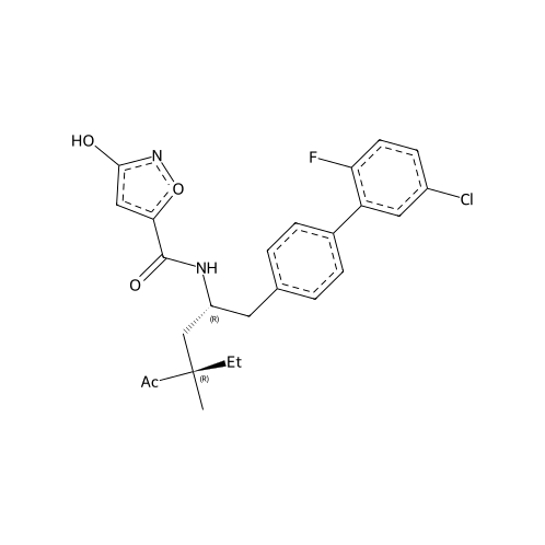 CC[C@](C)(C[C@@H](Cc1ccc(-c2cc(Cl)ccc2F)cc1)NC(=O)c1cc(O)no1)C(C)=O